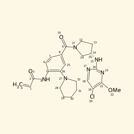 C=CC(=O)Nc1ccc(C(=O)N2CC[C@H](Nc3ncc(Cl)c(OC)n3)C2)cc1N1CCCCC1